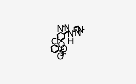 Cn1ccc(Nc2ncnc3ccc(Oc4c(Cl)cccc4S(C)(=O)=O)cc23)n1